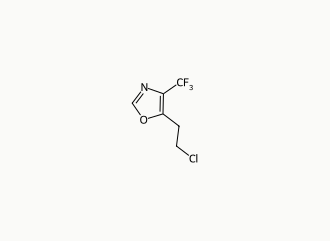 FC(F)(F)c1ncoc1CCCl